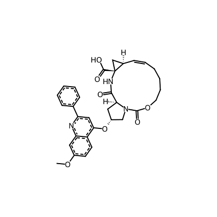 COc1ccc2c(O[C@@H]3C[C@H]4C(=O)N[C@]5(C(=O)O)C[C@H]5/C=C\CCCCOC(=O)N4C3)cc(-c3ccccc3)nc2c1